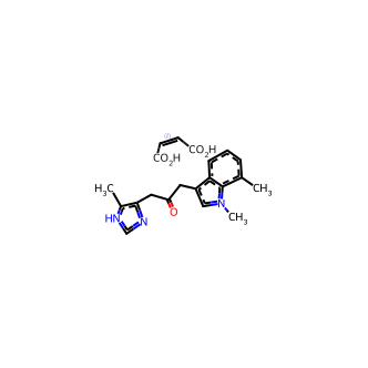 Cc1[nH]cnc1CC(=O)Cc1cn(C)c2c(C)cccc12.O=C(O)/C=C\C(=O)O